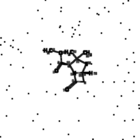 [CH2]OC(=O)[C@@H]1N2C(=O)C[C@H]2SC1(C)C